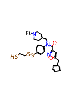 CCN1CCC(CN(C(=O)c2cc(Cc3ccccc3)on2)c2ccc(SSCCS)cc2)CC1